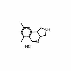 Cc1cc(C)c2c(c1)C1CNCC1OC2.Cl